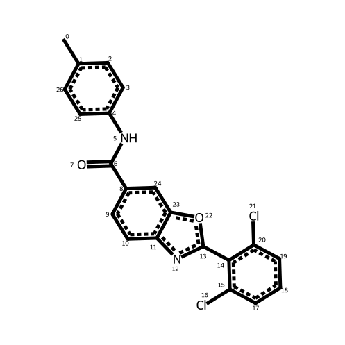 Cc1ccc(NC(=O)c2ccc3nc(-c4c(Cl)cccc4Cl)oc3c2)cc1